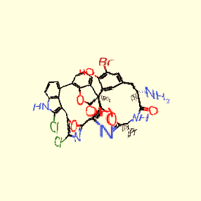 CC(C)[C@@H]1NC(=O)[C@@H](N)Cc2cc(Br)c(O)c(c2)[C@]23c4cccc(c4OC2O)-c2cccc4[nH]c(Cl)c(c24)-c2oc(nc2Cl)-c2nc1oc23